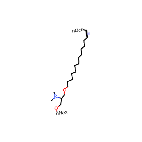 CCCCCCCC/C=C\CCCCCCCCCCCCOCC(COCCCCCC)N(C)C